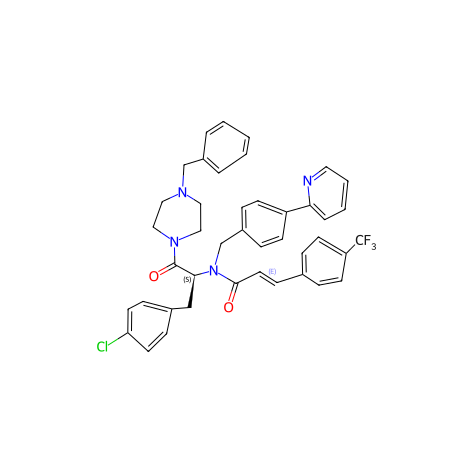 O=C([C@H](Cc1ccc(Cl)cc1)N(Cc1ccc(-c2ccccn2)cc1)C(=O)/C=C/c1ccc(C(F)(F)F)cc1)N1CCN(Cc2ccccc2)CC1